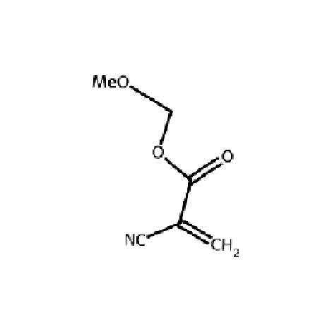 C=C(C#N)C(=O)OCOC